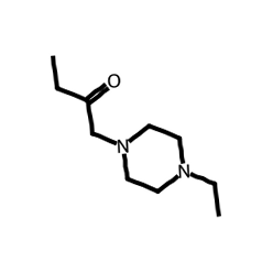 CCC(=O)CN1CCN(CC)CC1